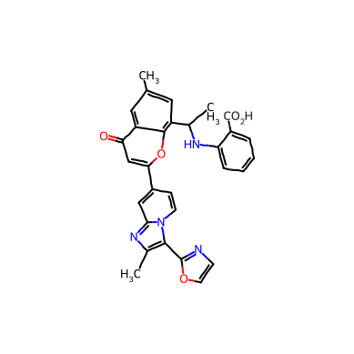 Cc1cc(C(C)Nc2ccccc2C(=O)O)c2oc(-c3ccn4c(-c5ncco5)c(C)nc4c3)cc(=O)c2c1